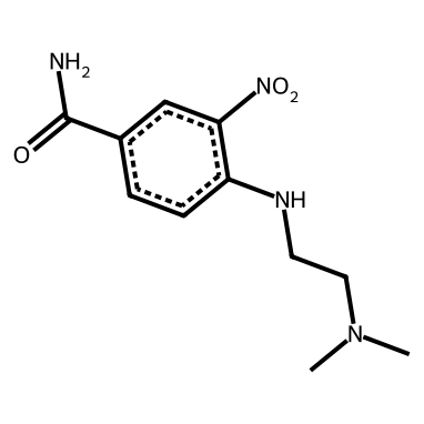 CN(C)CCNc1ccc(C(N)=O)cc1[N+](=O)[O-]